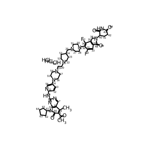 CC(=O)c1c(C)c2cnc(Nc3ccc(N4CCN(CCN5CCC(CN6CCN(c7c(F)cc8c(c7F)CN(C7CCC(=O)NC7=O)C8=O)CC6)CC5)CC4)cn3)nc2n(C2CCCC2)c1=O.Cl.Cl.Cl